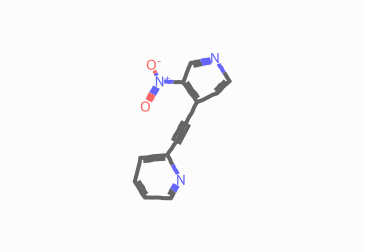 O=[N+]([O-])c1cnccc1C#Cc1ccccn1